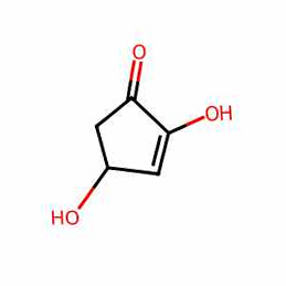 O=C1CC(O)C=C1O